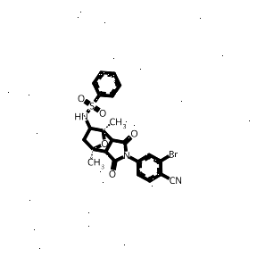 C[C@]12O[C@](C)(CC1NS(=O)(=O)c1ccccc1)C1C(=O)N(c3ccc(C#N)c(Br)c3)C(=O)C12